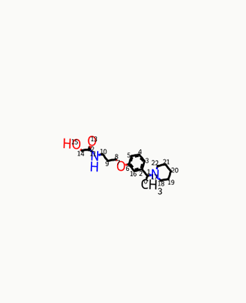 CC(c1cccc(OCCCNC(=O)CO)c1)N1CCCCC1